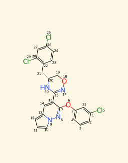 Clc1cccc(Oc2nn3cccc3cc2C2=NOC[C@@H](Cc3ccc(Cl)cc3Cl)N2)c1